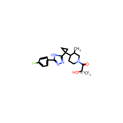 CC1CN(C(=O)[C@@H](O)C(F)(F)F)CCC1C1(c2nnc(-c3ccc(F)cc3)[nH]2)CC1